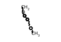 C=CCCOCc1ccc(-c2ccc(CCC=C[C@H]3CC[C@H](C=CC)CC3)cc2)cc1